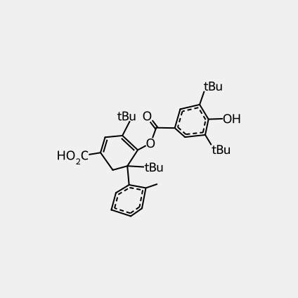 Cc1ccccc1C1(C(C)(C)C)CC(C(=O)O)=CC(C(C)(C)C)=C1OC(=O)c1cc(C(C)(C)C)c(O)c(C(C)(C)C)c1